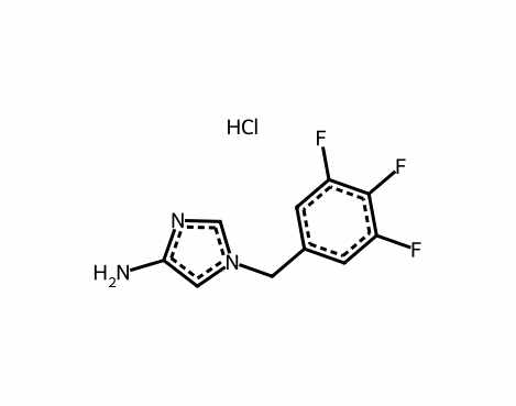 Cl.Nc1cn(Cc2cc(F)c(F)c(F)c2)cn1